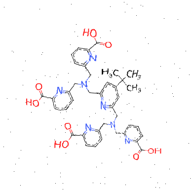 CC(C)(C)c1cc(CN(Cc2cccc(C(=O)O)n2)Cc2cccc(C(=O)O)n2)nc(CN(Cc2cccc(C(=O)O)n2)Cc2cccc(C(=O)O)n2)c1